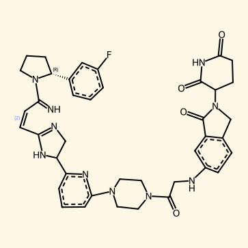 N=C(/C=C\C1=NCC(c2cccc(N3CCN(C(=O)CNc4ccc5c(c4)C(=O)N(C4CCC(=O)NC4=O)C5)CC3)n2)N1)N1CCC[C@@H]1c1cccc(F)c1